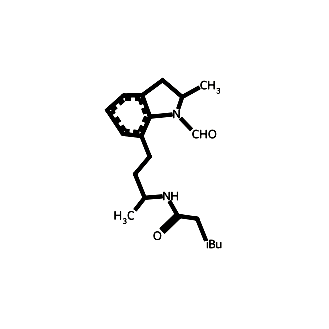 CCC(C)CC(=O)NC(C)CCc1cccc2c1N(C=O)C(C)C2